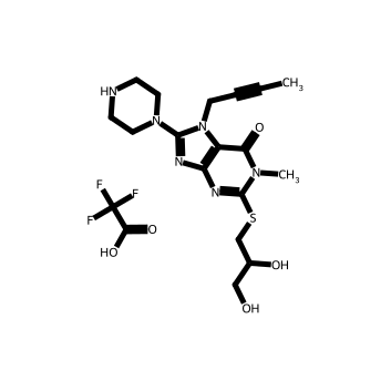 CC#CCn1c(N2CCNCC2)nc2nc(SCC(O)CO)n(C)c(=O)c21.O=C(O)C(F)(F)F